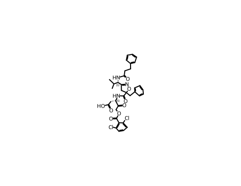 CC(C)[C@H](NC(=O)CCc1ccccc1)C1=NOC(Cc2ccccc2)(C(=O)N[C@@H](CC(=O)O)C(=O)COC(=O)c2c(Cl)cccc2Cl)C1